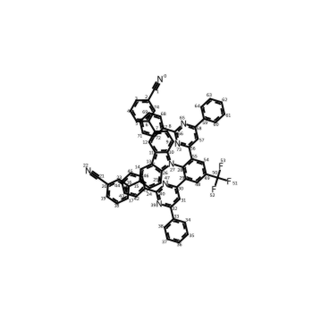 N#Cc1cccc(-c2ccc3c(c2)c2cc(-c4cccc(C#N)c4)ccc2n3-c2c(-c3cc(-c4ccccc4)nc(-c4ccccc4)n3)cc(C(F)(F)F)cc2-c2cc(-c3ccccc3)nc(-c3ccccc3)n2)c1